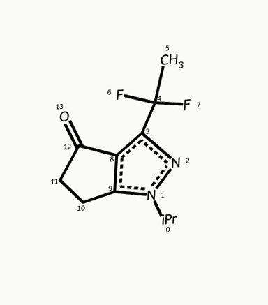 CC(C)n1nc(C(C)(F)F)c2c1CCC2=O